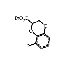 CCOC(=O)C1COc2cccc(F)c2O1